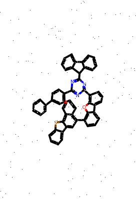 c1ccc(-c2ccc(-c3nc(-c4cccc5c4oc4c(-c6cc7c8ccccc8sc7c7ccccc67)cccc45)nc(C4c5ccccc5-c5ccccc54)n3)cc2)cc1